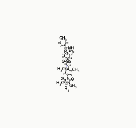 Cc1cc(N2C(=O)N(C)C(C)(C)C2=O)cc(C)c1/C=C/S(=O)(=O)N1CCC2(CC1)N=C(C1CCC(C)CC1)NC2=O